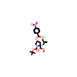 C=C(CCl)C[C@@]1(C(=O)OC)C[C@@H](OC(=O)c2ccc([N+](=O)[O-])cc2)CN1C(=O)OC(C)(C)C